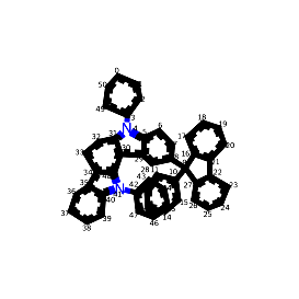 c1ccc(-n2c3ccc(C4(c5ccccc5)c5ccccc5-c5ccccc54)cc3c3c2ccc2c4ccccc4n(-c4ccccc4)c23)cc1